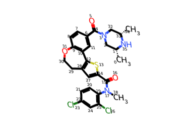 C[C@@H]1CN(C(=O)c2ccc3c(c2)-c2sc(C(=O)N(C)c4ccc(Cl)cc4Cl)cc2CCO3)C[C@H](C)N1